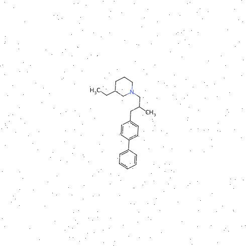 CCC1CCCN(CC(C)Cc2ccc(-c3ccccc3)cc2)C1